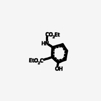 CCOC(=O)Nc1cccc(O)c1C(=O)OCC